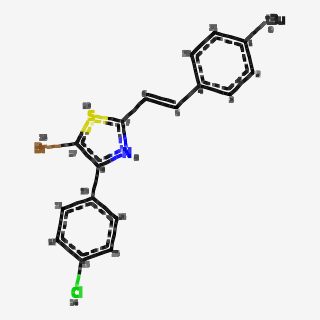 CC(C)(C)c1ccc(C=Cc2nc(-c3ccc(Cl)cc3)c(Br)s2)cc1